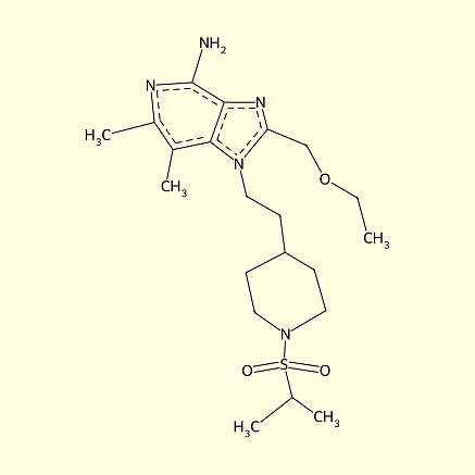 CCOCc1nc2c(N)nc(C)c(C)c2n1CCC1CCN(S(=O)(=O)C(C)C)CC1